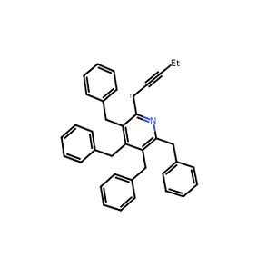 CCC#C[C]c1nc(Cc2ccccc2)c(Cc2ccccc2)c(Cc2ccccc2)c1Cc1ccccc1